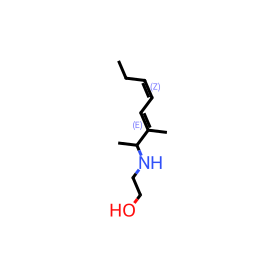 CC/C=C\C=C(/C)C(C)NCCO